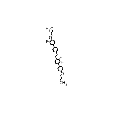 CCCCOc1ccc(-c2ccc(CCc3ccc(C4=CCC(OCCCC)CC4)c(F)c3F)cc2)cc1F